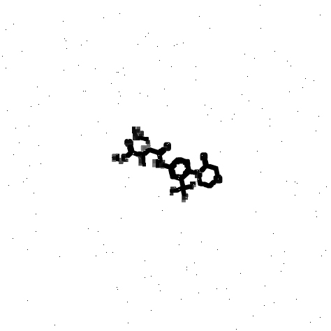 CC(=O)N[C@H](CN)C(=O)Nc1ccc(N2CCOCC2=O)c(C(F)(F)F)c1